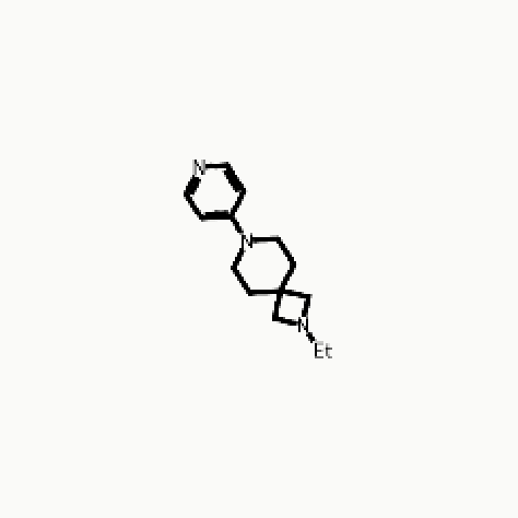 CCN1CC2(CCN(c3ccncc3)CC2)C1